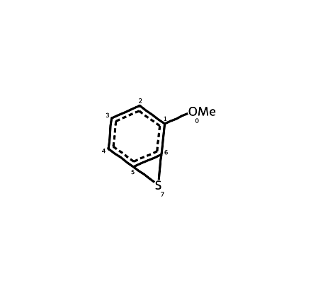 COc1cccc2c1S2